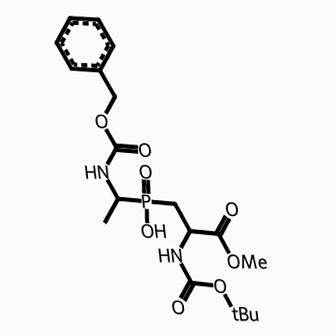 COC(=O)C(CP(=O)(O)C(C)NC(=O)OCc1ccccc1)NC(=O)OC(C)(C)C